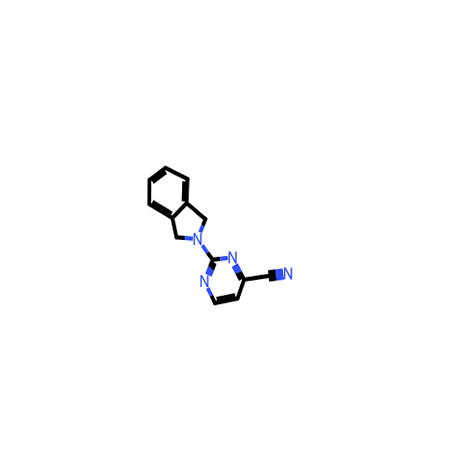 N#Cc1ccnc(N2Cc3ccccc3C2)n1